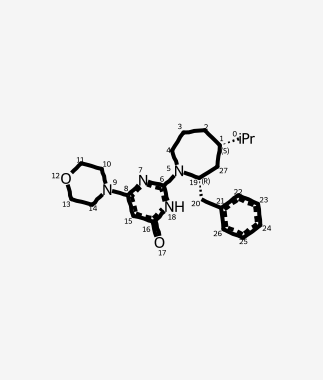 CC(C)[C@H]1CCCN(c2nc(N3CCOCC3)cc(=O)[nH]2)[C@@H](Cc2ccccc2)C1